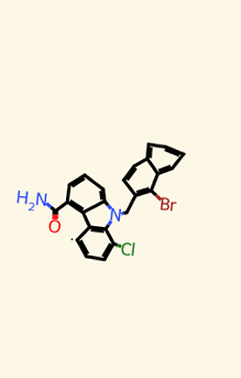 NC(=O)c1cccc2c1c1[c]ccc(Cl)c1n2Cc1ccc2ccccc2c1Br